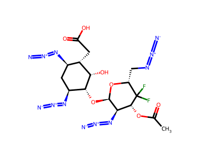 CC(=O)O[C@@H]1[C@@H](N=[N+]=[N-])[C@@H](O[C@H]2[C@@H](O)[C@@H](CC(=O)O)[C@H](N=[N+]=[N-])C[C@@H]2N=[N+]=[N-])O[C@H](CN=[N+]=[N-])C1(F)F